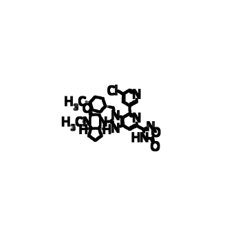 CN1C(=O)CN(c2nc3cc(-c4noc(=O)[nH]4)nc(-c4cncc(Cl)c4)c3n2C[C@H]2CC[C@H](C)CC2)[C@H]2CCC[C@@H]21